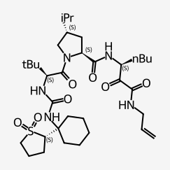 C=CCNC(=O)C(=O)[C@H](CCCC)NC(=O)[C@@H]1C[C@@H](C(C)C)CN1C(=O)[C@@H](NC(=O)NC1([C@@H]2CCCS2(=O)=O)CCCCC1)C(C)(C)C